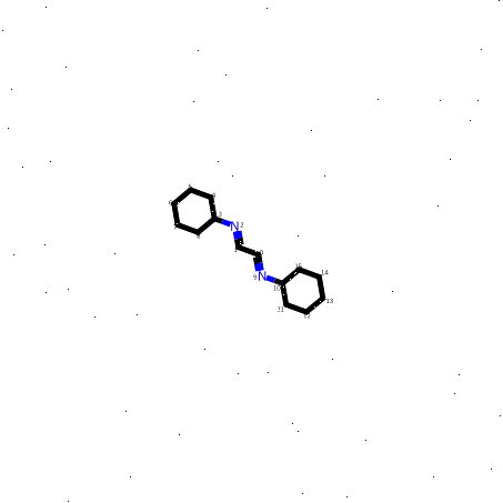 C(C=NC1CCCCC1)=NC1CCCCC1